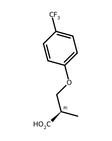 C[C@H](COc1ccc(C(F)(F)F)cc1)C(=O)O